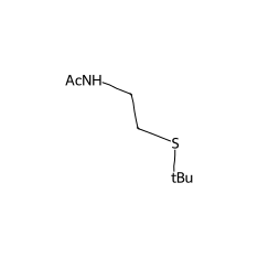 CC(=O)NCCSC(C)(C)C